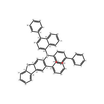 c1ccc(-c2ccc(N(c3cc4sc5ccccc5c4cc3-c3ccccc3)c3ccc(-c4ccccc4)c4ccccc34)cc2)cc1